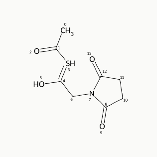 CC(=O)[SH]=C(O)CN1C(=O)CCC1=O